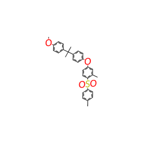 COc1ccc(C(C)(C)c2ccc(Oc3ccc(S(=O)(=O)c4ccc(C)cc4)c(C)c3)cc2)cc1